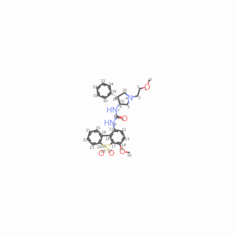 COCCN1C[C@@H](NC(=O)Nc2ccc(OC)c3c2-c2ccccc2S3(=O)=O)[C@H](c2ccccc2)C1